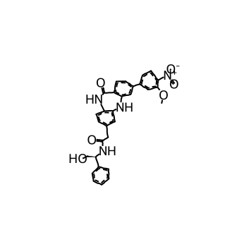 COc1cc(-c2ccc3c(c2)Nc2cc(CC(=O)N[C@H](CO)c4ccccc4)ccc2NC3=O)ccc1[N+](=O)[O-]